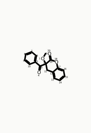 COC1(C(=O)c2ccccc2)Cc2ccccc2OC1=O